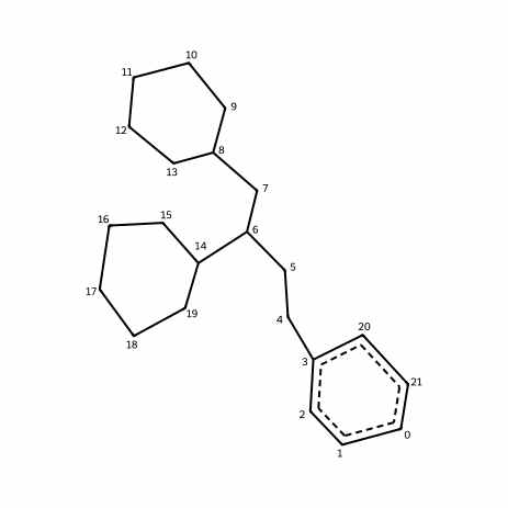 c1ccc(CCC(CC2CCCCC2)C2CCCCC2)cc1